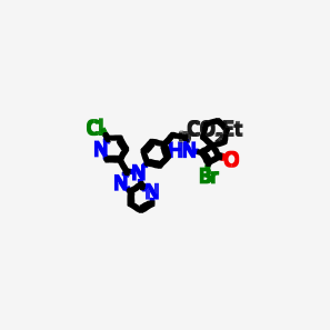 CCOC(=O)[C@H](Cc1ccc(-n2c(-c3ccc(Cl)nc3)nc3cccnc32)cc1)NC1=C(Br)C(=O)C12CCCCC2